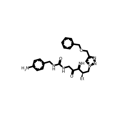 CC[C@H](Cn1cc(COCc2ccccc2)nn1)C(=N)C(=O)CNC(=O)NCc1ccc(N)cc1